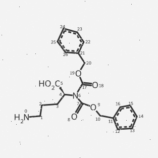 NCCC[C@@H](C(=O)O)N(C(=O)OCc1ccccc1)C(=O)OCc1ccccc1